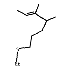 CC=C(C)C(C)CCCSCC